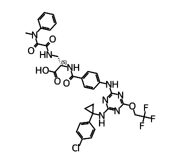 CN(C(=O)C(=O)NC[C@H](NC(=O)c1ccc(Nc2nc(NC3(c4ccc(Cl)cc4)CC3)nc(OCC(F)(F)F)n2)cc1)C(=O)O)c1ccccc1